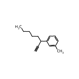 [C]#CC(CCCCC)c1cccc(C)c1